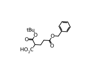 CC(C)(C)OC(=O)C(CCC(=O)OCc1ccccc1)C(=O)O